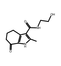 Cc1[nH]c2c(c1C(=O)NCCO)CCCC2=O